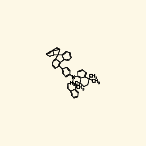 CC1(C)CCC(C)(C)c2c(N(c3ccc(-c4cccc5c4-c4ccccc4C54C5CC6CC(C5)C4C6)cc3)c3ccc4ccccc4c3)cccc21